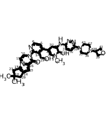 CN1C=C(c2ccnc(-n3ccn4c5c(cc4c3=O)CC(C)(C)C5)c2CO)C=C(Nc2ccc(N3CCN(C4COC4)CC3)nn2)C1O